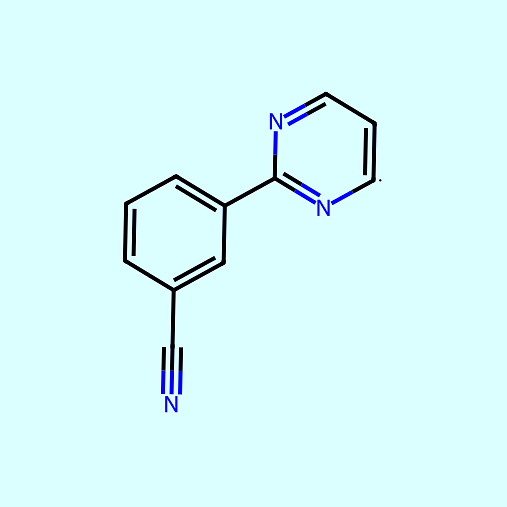 N#Cc1cccc(-c2n[c]ccn2)c1